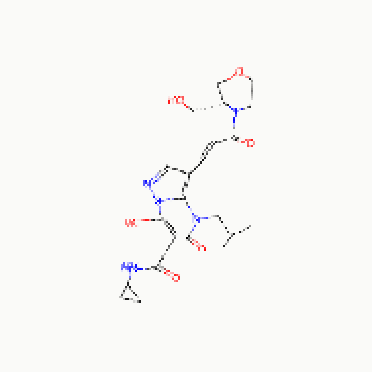 CC(C)Cn1c(=O)c(C(=O)NC2CC2)c(O)n2ncc(/C=C/C(=O)N3CCOC[C@H]3CO)c12